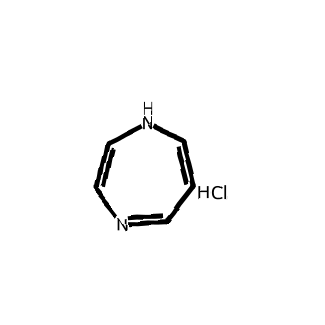 C1=CNC=CN=C1.Cl